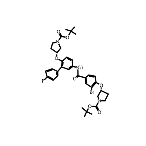 CC(C)(C)OC(=O)N1CC[C@H](Oc2ccc(C(=O)Nc3ccc(O[C@H]4CCN(C(=O)OC(C)(C)C)C4)c(-c4ccc(F)cc4)c3)cc2Br)C1